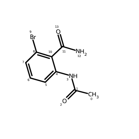 CC(=O)Nc1cccc(Br)c1C(N)=O